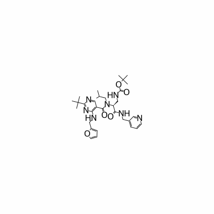 CC(C)CN(C(=O)c1cnc(C(C)(C)C)nc1NCc1ccco1)[C@@H](CNC(=O)OC(C)(C)C)C(=O)NCc1cccnc1